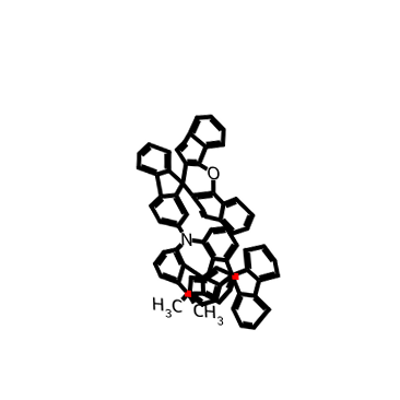 CC1(C)c2ccccc2-c2c(N(c3ccc4c(c3)C3(c5ccccc5-4)c4ccc5ccccc5c4Oc4c3ccc3ccccc43)c3cccc4c3-c3ccccc3C43c4ccccc4-c4ccccc43)cccc21